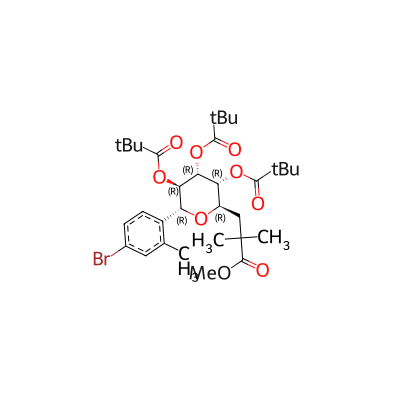 COC(=O)C(C)(C)C[C@H]1O[C@H](c2ccc(Br)cc2C)[C@@H](OC(=O)C(C)(C)C)[C@H](OC(=O)C(C)(C)C)[C@@H]1OC(=O)C(C)(C)C